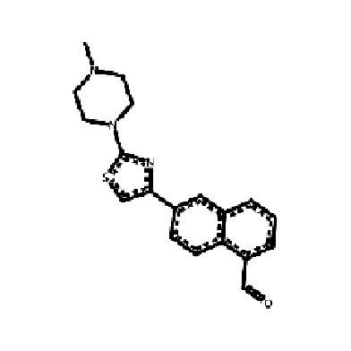 CN1CCN(c2nc(-c3ccc4c(C=O)cccc4c3)cs2)CC1